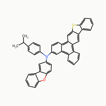 CC(C)c1ccc(N(c2ccc3oc4ccccc4c3c2)c2ccc3c(c2)c2ccccc2c2cc4c(cc32)sc2ccccc24)cc1